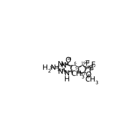 COc1ccc(Cc2c(C)[nH]c3nc(N)nn3c2=O)cc1C(F)(F)F